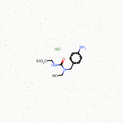 CCOC(=O)CNC(=O)N(CC#N)Cc1ccc(N)cc1.Cl